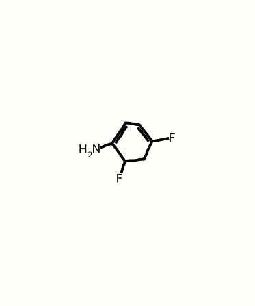 NC1=CC=C(F)CC1F